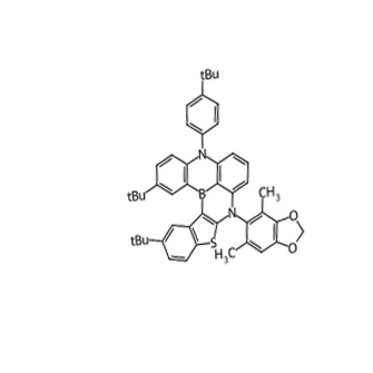 Cc1cc2c(c(C)c1N1c3cccc4c3B(c3cc(C(C)(C)C)ccc3N4c3ccc(C(C)(C)C)cc3)c3c1sc1ccc(C(C)(C)C)cc31)OCO2